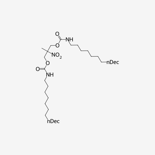 CCCCCCCCCCCCCCCCCNC(=O)OCC(C)(COC(=O)NCCCCCCCCCCCCCCCCC)[N+](=O)[O-]